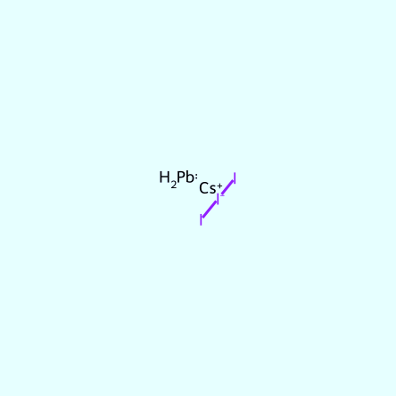 I[I-]I.[Cs+].[PbH2]